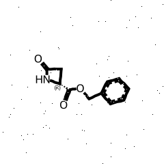 O=C1C[C@H](C(=O)OCc2ccccc2)N1